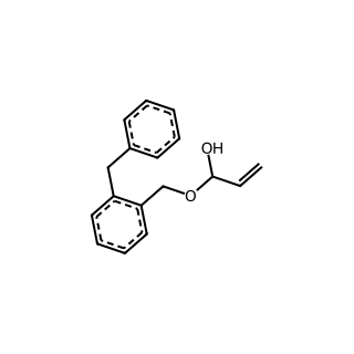 C=CC(O)OCc1ccccc1Cc1ccccc1